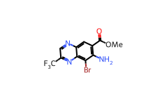 COC(=O)c1cc2ncc(C(F)(F)F)nc2c(Br)c1N